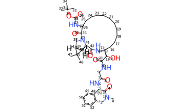 CN(C)C(=O)[C@@H](NC(=O)CNC(=O)C(O)[C@@H]1CCCCCCCCCC[C@H](NC(=O)OC(C)(C)C)C(=O)N2C[C@H]3[C@@H]([C@H]2C(=O)N1)C3(C)C)c1ccccc1